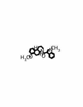 COc1cccc2c1CC[C@@H]1[C@H]2CCCN1C(=O)c1cn(C)c2ccccc12